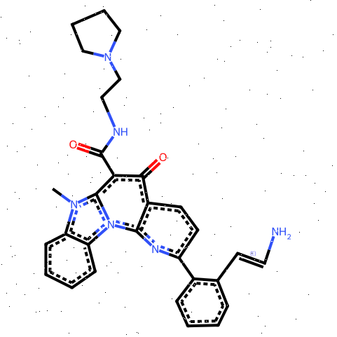 Cn1c2ccccc2n2c3nc(-c4ccccc4/C=C/N)ccc3c(=O)c(C(=O)NCCN3CCCC3)c12